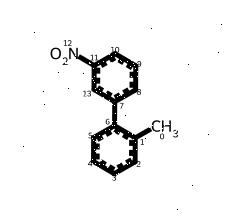 Cc1ccccc1-c1cccc([N+](=O)[O-])c1